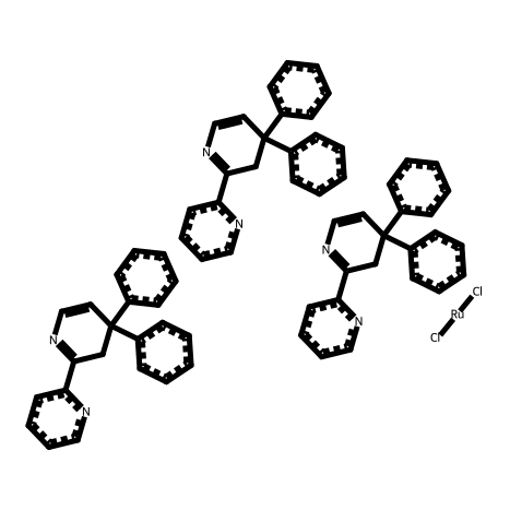 C1=CC(c2ccccc2)(c2ccccc2)CC(c2ccccn2)=N1.C1=CC(c2ccccc2)(c2ccccc2)CC(c2ccccn2)=N1.C1=CC(c2ccccc2)(c2ccccc2)CC(c2ccccn2)=N1.[Cl][Ru][Cl]